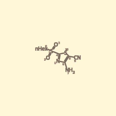 CCCCCCS(=O)(=O)c1nc(N)c(C#N)s1